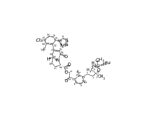 CC(C)(CCc1nccc(C(=O)COC(=O)[C@@H]2CC[C@@H]3CC(c4c(-n5cnnn5)ccc(Cl)c4F)=CC(=O)N32)c1F)O[Si](C)(C)C(C)(C)C